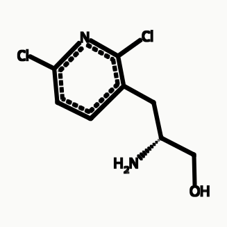 N[C@@H](CO)Cc1ccc(Cl)nc1Cl